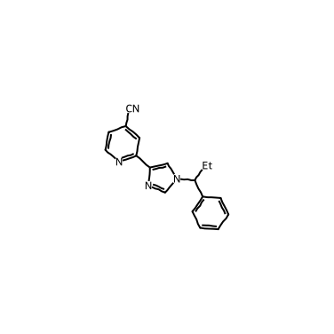 CCC(c1ccccc1)n1cnc(-c2cc(C#N)ccn2)c1